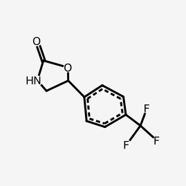 O=C1NCC(c2ccc(C(F)(F)F)cc2)O1